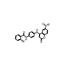 O=C(Nc1ccc(Nc2cc(=O)oc3ccc([N+](=O)[O-])cc23)cc1)c1ccccc1Br